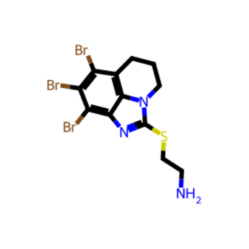 NCCSc1nc2c(Br)c(Br)c(Br)c3c2n1CCC3